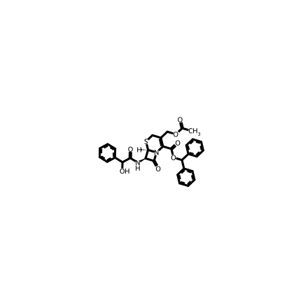 CC(=O)OCC1=C(C(=O)OC(c2ccccc2)c2ccccc2)N2C(=O)[C@@H](NC(=O)C(O)c3ccccc3)[C@H]2SC1